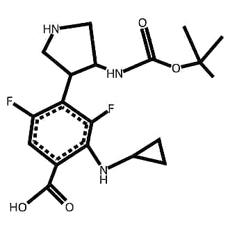 CC(C)(C)OC(=O)NC1CNCC1c1c(F)cc(C(=O)O)c(NC2CC2)c1F